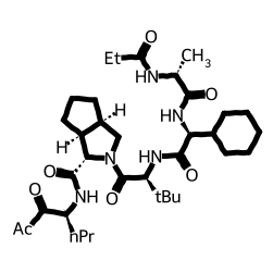 CCC[C@H](NC(=O)[C@@H]1[C@H]2CCC[C@H]2CN1C(=O)[C@@H](NC(=O)[C@@H](NC(=O)[C@@H](C)NC(=O)CC)C1CCCCC1)C(C)(C)C)C(=O)C(C)=O